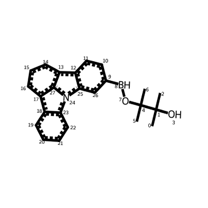 CC(C)(O)C(C)(C)OBc1ccc2c3cccc4c5ccccc5n(c2c1)c43